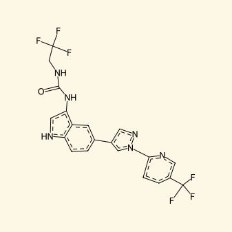 O=C(NCC(F)(F)F)Nc1c[nH]c2ccc(-c3cnn(-c4ccc(C(F)(F)F)cn4)c3)cc12